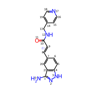 Nc1n[nH]c2ccc(/C=C/C(=O)NCc3ccncc3)cc12